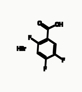 Br.O=C(O)c1cc(F)c(F)cc1F